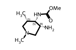 COC(=O)N[C@@H]1[C@H](N)CN(C)C[C@@H]1C